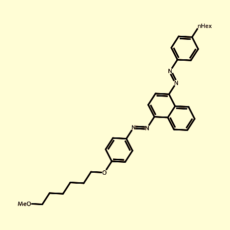 CCCCCCc1ccc(N=Nc2ccc(N=Nc3ccc(OCCCCCCOC)cc3)c3ccccc23)cc1